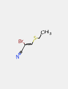 CCSC=C(Br)C#N